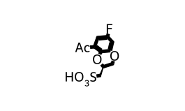 CC(=O)c1cc(F)cc2c1O[C@H](CS(=O)(=O)O)CO2